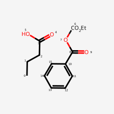 CCCC(=O)O.CCOC(=O)OC(=O)c1ccccc1